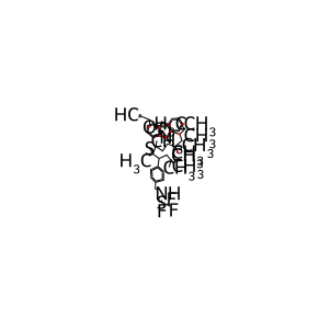 C#CCOc1ccc(C(C(C)C(C)C(CC2(C)SC2(C)C(CC(C)(C)C)c2ccc(CNSC(F)(F)F)cc2)n2c3ccccc3c3ccccc32)C(C)(C)C)cc1